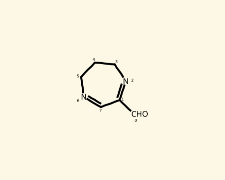 O=CC1=NCCCN=C1